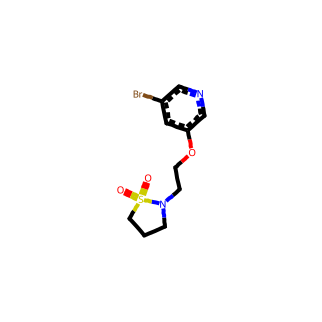 O=S1(=O)CCCN1CCOc1cncc(Br)c1